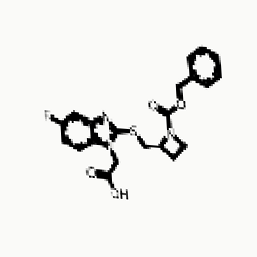 O=C(O)Cn1c(SC[C@@H]2CCN2C(=O)OCc2ccccc2)nc2cc(F)ccc21